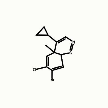 CC12C=C(Cl)C(Br)=CC1N=NC=C2C1CC1